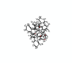 CC1=C(C)C(C)C([Si](c2cc(C)c(C)c(-c3ccccc3)c2-c2ccccc2)(c2cc(C)c(C)c(-c3ccccc3)c2-c2ccccc2)c2cc(C)c(C)c(-c3ccccc3)c2-c2ccccc2)=C1C